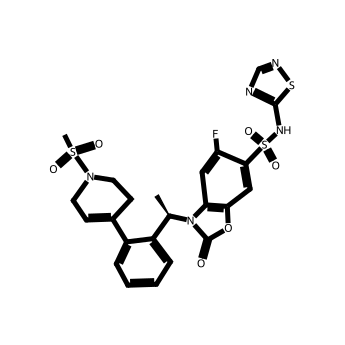 C[C@H](c1ccccc1C1=CCN(S(C)(=O)=O)CC1)n1c(=O)oc2cc(S(=O)(=O)Nc3ncns3)c(F)cc21